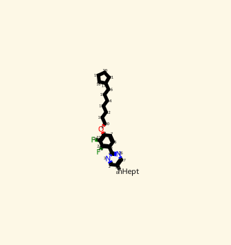 CCCCCCCc1cnc(-c2ccc(OCCCCCCCC3CCCC3)c(F)c2F)nc1